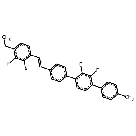 CCc1ccc(/C=C/c2ccc(-c3ccc(-c4ccc(C)cc4)c(F)c3F)cc2)c(F)c1F